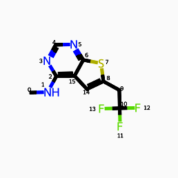 CNc1ncnc2sc(CC(F)(F)F)cc12